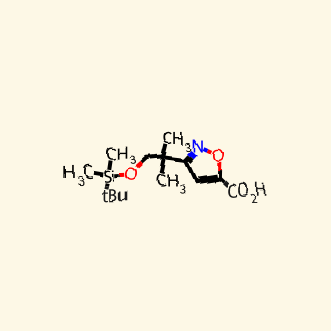 CC(C)(CO[Si](C)(C)C(C)(C)C)c1cc(C(=O)O)on1